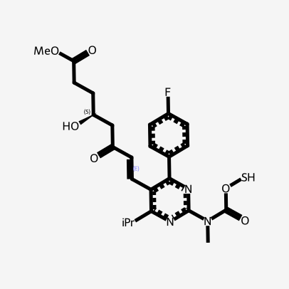 COC(=O)CC[C@H](O)CC(=O)/C=C/c1c(-c2ccc(F)cc2)nc(N(C)C(=O)OS)nc1C(C)C